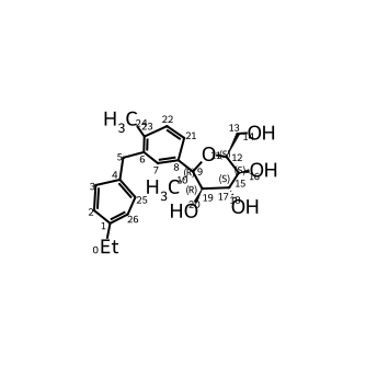 CCc1ccc(Cc2cc([C@@]3(C)O[C@@H](CO)[C@@H](O)[C@H](O)[C@H]3O)ccc2C)cc1